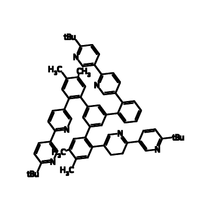 Cc1cc(C2=CN=C(c3ccc(C(C)(C)C)nc3)CC2)c(-c2cc(-c3ccccc3-c3ccc(-c4ccc(C(C)(C)C)nc4)nc3)cc(-c3cc(C)c(C)cc3-c3ccc(-c4ccc(C(C)(C)C)nc4)nc3)c2)cc1C